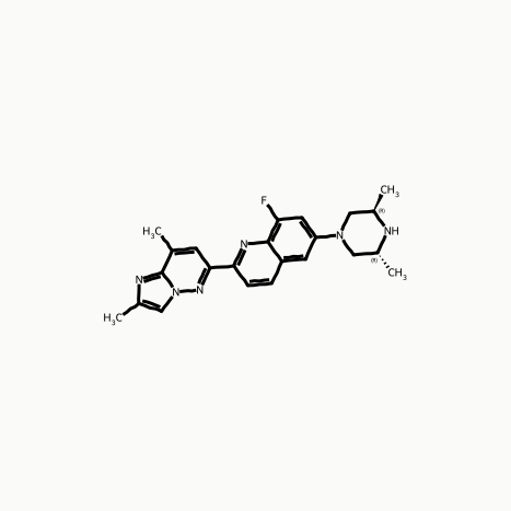 Cc1cn2nc(-c3ccc4cc(N5C[C@@H](C)N[C@H](C)C5)cc(F)c4n3)cc(C)c2n1